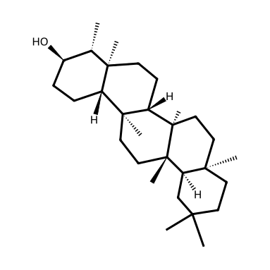 C[C@H]1[C@H](O)CC[C@@H]2[C@]1(C)CC[C@H]1[C@@]2(C)CC[C@@]2(C)[C@@H]3CC(C)(C)CC[C@]3(C)CC[C@]12C